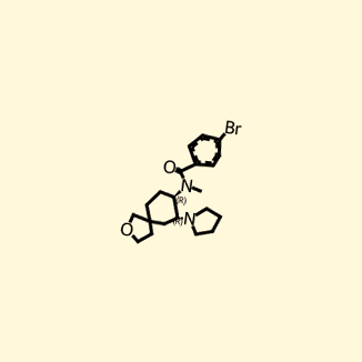 CN(C(=O)c1ccc(Br)cc1)[C@@H]1CCC2(CCOC2)C[C@H]1N1CCCC1